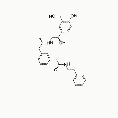 C[C@H](Cc1cccc(CC(=O)NCCc2ccccc2)c1)NC[C@H](O)c1ccc(O)c(CO)c1